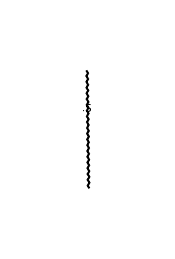 CCCCCCCCCCCCCCCCCCCCCCCCCCC[CH]SCCCCCCCCCCCCC